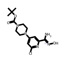 CC(C)(C)OC(=O)N1CCN(c2cc(Cl)nc(/C(N)=N/O)c2)CC1